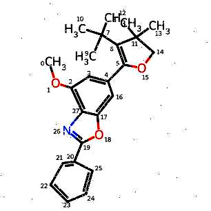 COc1cc(C2=C(C(C)(C)C)C(C)(C)CO2)cc2oc(-c3ccccc3)nc12